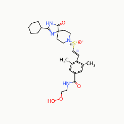 Cc1cc(C(=O)NCCOO)cc(C)c1/C=C/[S@+]([O-])N1CCC2(CC1)N=C(C1CCCCC1)NC2=O